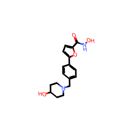 O=C(NO)c1ccc(-c2ccc(CN3CCC(O)CC3)cc2)o1